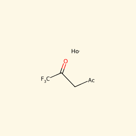 CC(=O)CC(=O)C(F)(F)F.[Ho]